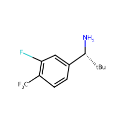 CC(C)(C)[C@@H](N)c1ccc(C(F)(F)F)c(F)c1